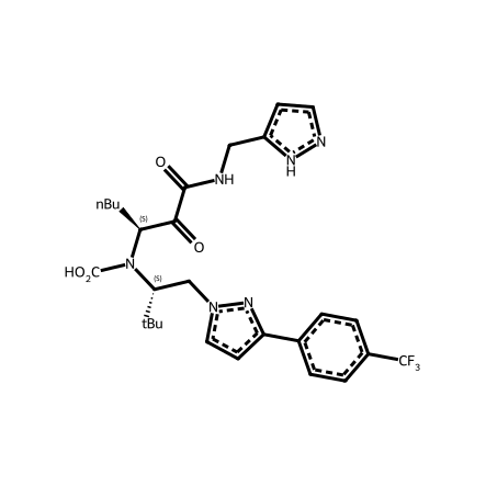 CCCC[C@@H](C(=O)C(=O)NCc1ccn[nH]1)N(C(=O)O)[C@H](Cn1ccc(-c2ccc(C(F)(F)F)cc2)n1)C(C)(C)C